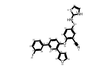 N#Cc1cc(SNC2NC=CS2)ccc1Oc1ccc(-c2cccc(F)c2)nc1-c1ccoc1